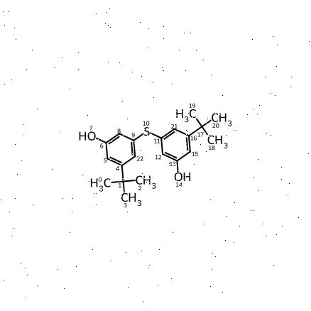 CC(C)(C)c1cc(O)cc(Sc2cc(O)cc(C(C)(C)C)c2)c1